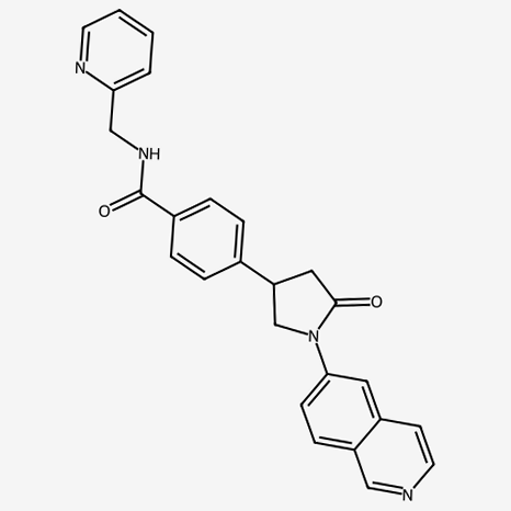 O=C(NCc1ccccn1)c1ccc(C2CC(=O)N(c3ccc4cnccc4c3)C2)cc1